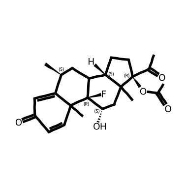 CC(=O)O[C@]1(C(C)=O)CC[C@H]2C3C[C@H](C)C4=CC(=O)C=CC4(C)[C@@]3(F)[C@@H](O)CC21C